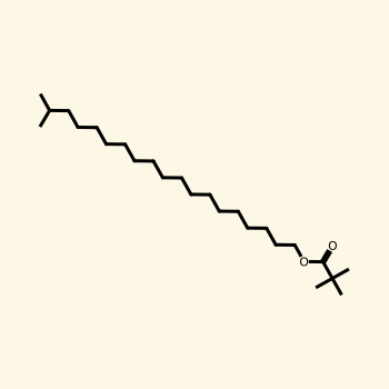 CC(C)CCCCCCCCCCCCCCCCCOC(=O)C(C)(C)C